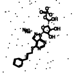 O=P([O-])([O-])OC(O)[C@H]1O[C@@H](n2ncc3c(SCC=Cc4ccccc4)ncnc32)[C@H](O)[C@@H]1O.[Na+].[Na+]